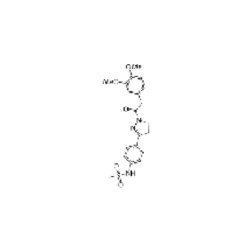 COc1ccc(CC(=O)N2CCC(c3ccc(NS(C)(=O)=O)cc3)=N2)cc1OC